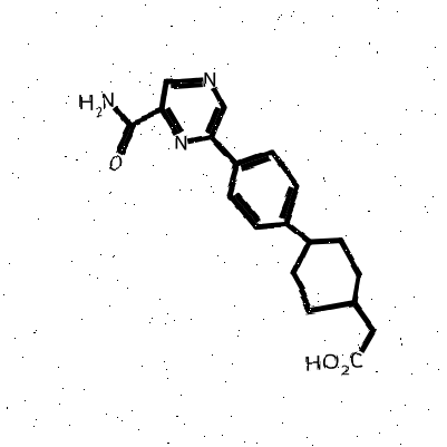 NC(=O)c1cncc(-c2ccc(C3CCC(CC(=O)O)CC3)cc2)n1